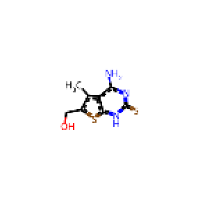 Cc1c(CO)sc2[nH]c(=S)nc(N)c12